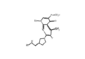 CCn1cc(OC(=O)O)c(=O)c2c(N)c(F)c(N3CCC(CNC(C)C)C3)nc21